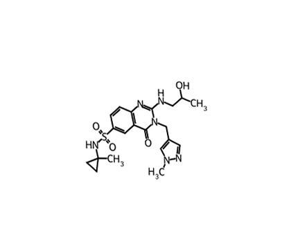 CC(O)CNc1nc2ccc(S(=O)(=O)NC3(C)CC3)cc2c(=O)n1Cc1cnn(C)c1